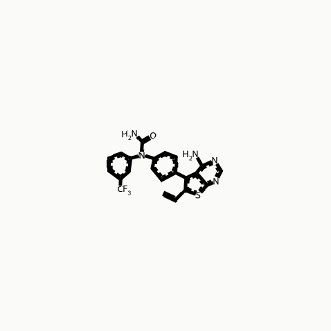 C=Cc1sc2ncnc(N)c2c1-c1ccc(N(C(N)=O)c2cccc(C(F)(F)F)c2)cc1